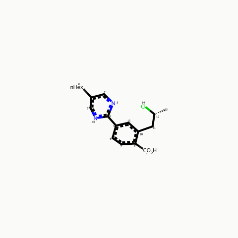 CCCCCCc1cnc(-c2ccc(C(=O)O)c(C[C@@H](C)Cl)c2)nc1